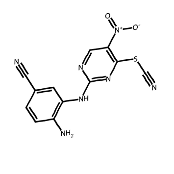 N#CSc1nc(Nc2cc(C#N)ccc2N)ncc1[N+](=O)[O-]